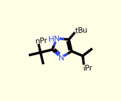 CCCC(C)(C)c1nc(C(C)C(C)C)c(C(C)(C)C)[nH]1